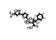 CN(C)c1cc(-c2ccc(S(=O)(=O)N[C@@]3(C(=O)O)C[C@]3(C)c3ccccc3)s2)no1